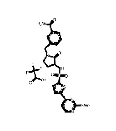 CSc1nccc(-c2ccc(S(=O)(=O)NC3CCN(Cc4cccc(C(=N)N)c4)C3=O)s2)n1.O=C(O)C(F)(F)F